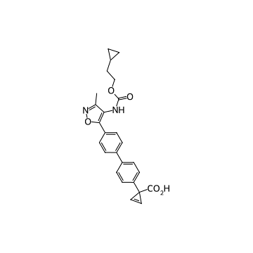 Cc1noc(-c2ccc(-c3ccc(C4(C(=O)O)C=C4)cc3)cc2)c1NC(=O)OCCC1CC1